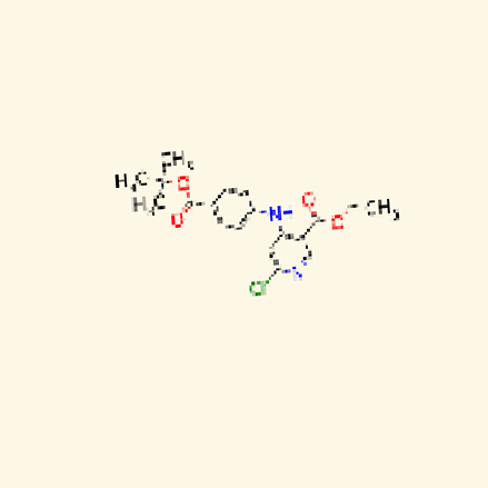 CCOC(=O)c1cnc(Cl)cc1Nc1ccc(C(=O)OC(C)(C)C)cc1